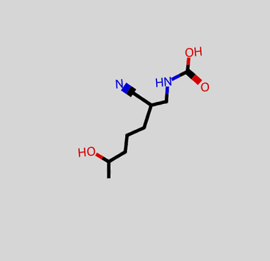 CC(O)CCCC(C#N)CNC(=O)O